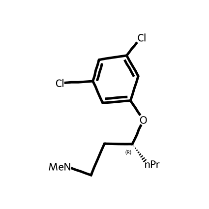 CCC[C@H](CCNC)Oc1cc(Cl)cc(Cl)c1